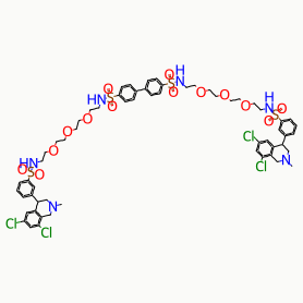 CN1Cc2c(Cl)cc(Cl)cc2C(c2cccc(S(=O)(=O)NCCOCCOCCOCCNS(=O)(=O)c3ccc(-c4ccc(S(=O)(=O)NCCOCCOCCOCCNS(=O)(=O)c5cccc(C6CN(C)Cc7c(Cl)cc(Cl)cc76)c5)cc4)cc3)c2)C1